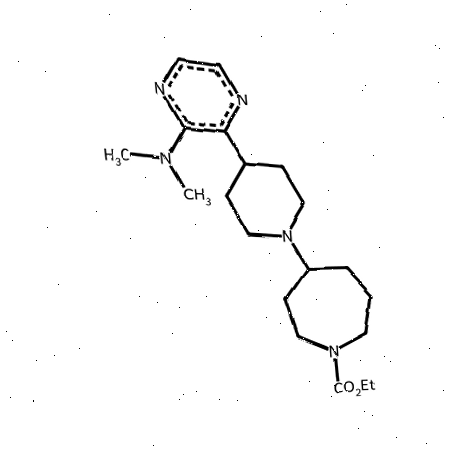 CCOC(=O)N1CCCC(N2CCC(c3nccnc3N(C)C)CC2)CC1